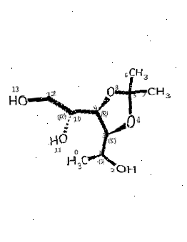 C[C@H](O)[C@@H]1OC(C)(C)O[C@@H]1[C@H](O)CO